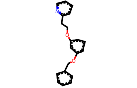 c1ccc(COc2cccc(OCCc3ccccn3)c2)cc1